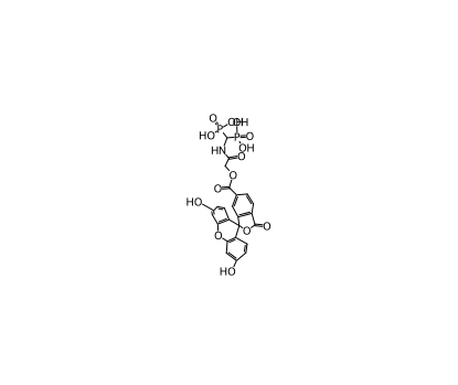 O=C(COC(=O)c1ccc2c(c1)C1(OC2=O)c2ccc(O)cc2Oc2cc(O)ccc21)NC(P(=O)(O)O)P(=O)(O)O